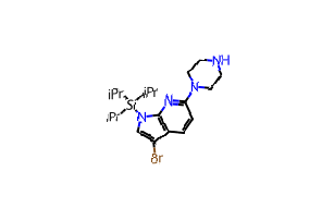 CC(C)[Si](C(C)C)(C(C)C)n1cc(Br)c2ccc(N3CCNCC3)nc21